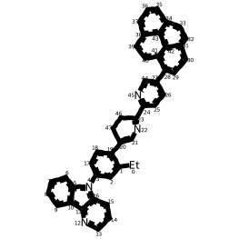 CCc1cc(-n2c3ccccc3c3ncccc32)ccc1C1=CN=C(c2ccc(-c3ccc4ccc5cccc6ccc3c4c56)cn2)CC1